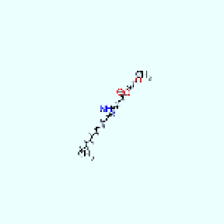 CCCCCCCCCCCCCCCCCC(=O)OCCCOC.N